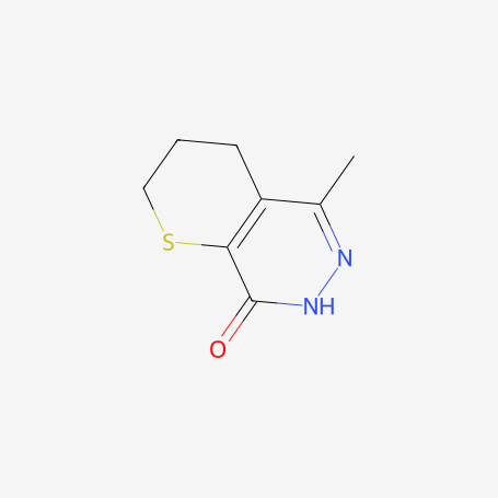 Cc1n[nH]c(=O)c2c1CCCS2